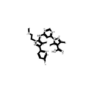 COCCn1nc(-c2ccc(F)cn2)c(C)c1Nc1cc(-n2nc(C)c(C(=O)O)c2C)ncn1